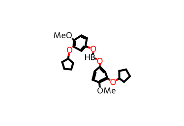 COc1ccc(OBOc2ccc(OC)c(OC3CCCC3)c2)cc1OC1CCCC1